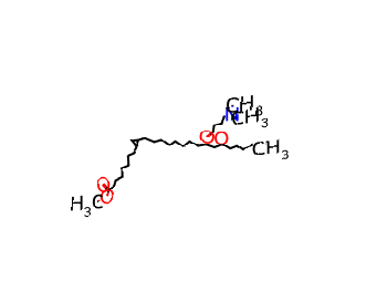 CCCCCCCC(CCCCCCCCC1CC1CCCCCCCC(=O)OC)OC(=O)CCCN(C)C